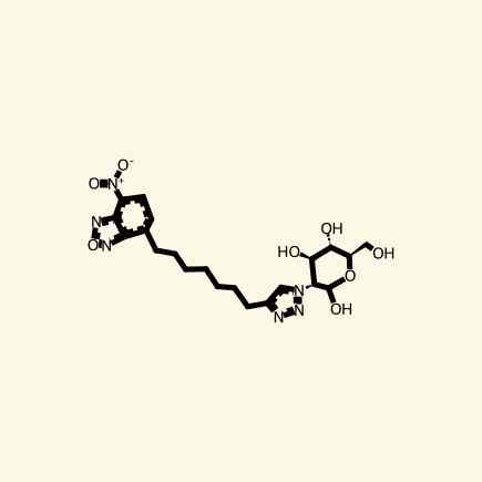 O=[N+]([O-])c1ccc(CCCCCCCc2cn([C@H]3C(O)O[C@H](CO)[C@@H](O)[C@@H]3O)nn2)c2nonc12